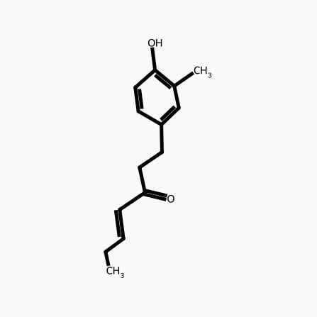 CC/C=C/C(=O)CCc1ccc(O)c(C)c1